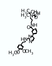 COc1ccc(CCNc2nccc(-c3cccc(C(=O)NCCCN(C(=O)O)C(C)(C)C)c3)n2)cc1OC